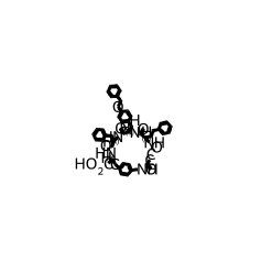 O=C1CCC(=O)N[C@H](CCc2ccccc2)C(=O)N[C@@H](Cc2ccc(OCc3ccccc3)cc2)C(=O)N[C@H](Cc2ccccc2)C(=O)N[C@@H](C(=O)O)Cc2ccc(cc2)N1